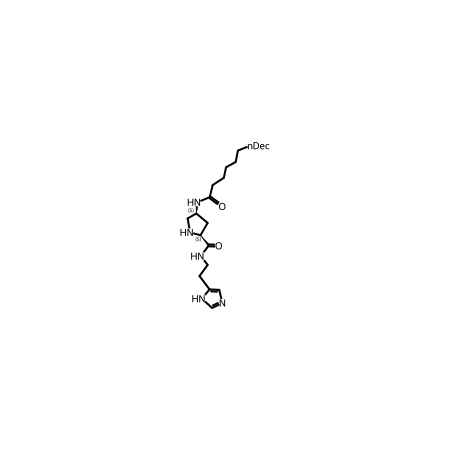 CCCCCCCCCCCCCCCC(=O)N[C@@H]1CN[C@H](C(=O)NCCc2cnc[nH]2)C1